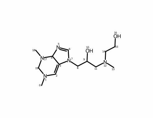 CN1C=C2C(N=CN2CC(O)CN(C)CCO)N(C)C1